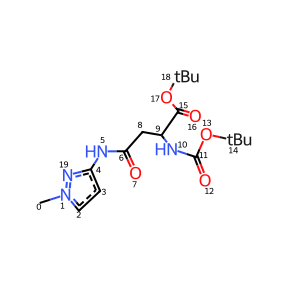 Cn1ccc(NC(=O)CC(NC(=O)OC(C)(C)C)C(=O)OC(C)(C)C)n1